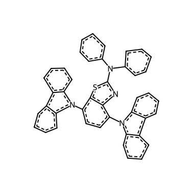 c1ccc(N(c2ccccc2)c2nc3c(-n4c5ccccc5c5ccccc54)ccc(-n4c5ccccc5c5ccccc54)c3s2)cc1